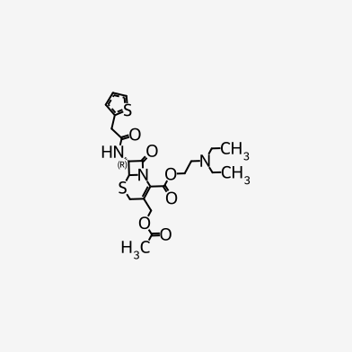 CCN(CC)CCOC(=O)C1=C(COC(C)=O)CSC2[C@H](NC(=O)Cc3cccs3)C(=O)N12